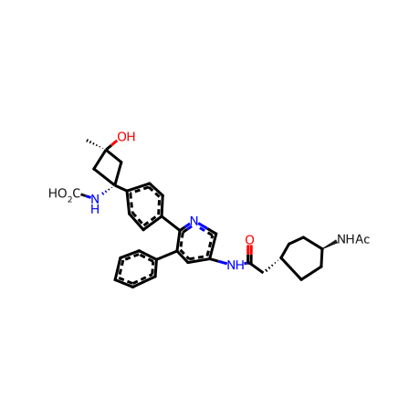 CC(=O)N[C@H]1CC[C@H](CC(=O)Nc2cnc(-c3ccc([C@]4(NC(=O)O)C[C@](C)(O)C4)cc3)c(-c3ccccc3)c2)CC1